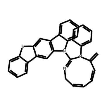 C=C1/C=C\C=C/C/N=C(/n2c3ccccc3c3cc4sc5ccccc5c4cc32)N1c1ccccc1